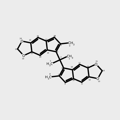 CC1=C(C(C)(C)C2=C(C)C=C3C=C4OCOC4C=C32)C2=CC3OCOC3=CC2=C1